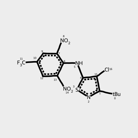 CC(C)(C)c1nsc(Nc2c([N+](=O)[O-])cc(C(F)(F)F)cc2[N+](=O)[O-])c1Cl